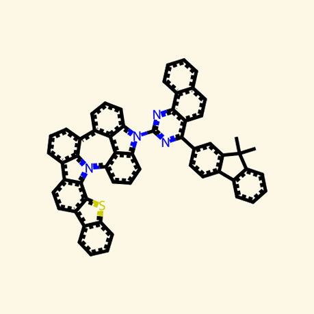 CC1(C)c2ccccc2-c2ccc(-c3nc(-n4c5cccc6c7cccc8c9ccc%10c%11ccccc%11sc%10c9n(c9cccc4c9c65)c78)nc4c3ccc3ccccc34)cc21